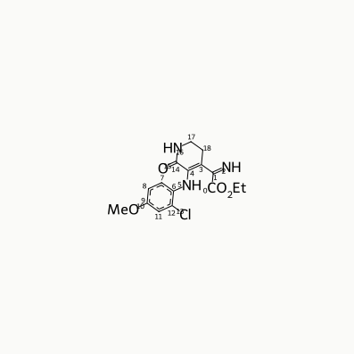 CCOC(=O)C(=N)C1=C(Nc2ccc(OC)cc2Cl)C(=O)NCC1